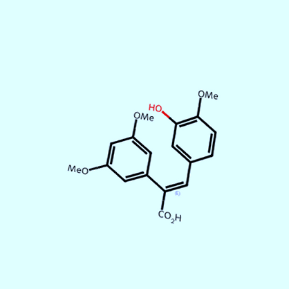 COc1cc(OC)cc(/C(=C\c2ccc(OC)c(O)c2)C(=O)O)c1